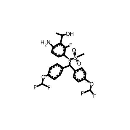 CC(O)c1c(N)ccc(N(C(c2ccc(OC(F)F)cc2)c2ccc(OC(F)F)cc2)S(C)(=O)=O)c1F